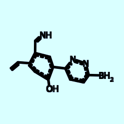 Bc1ccc(-c2cc(C=N)c(C=C)cc2O)nn1